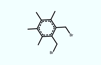 Cc1c(C)c(C)c(CBr)c(CBr)c1C